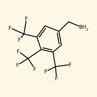 BCc1cc(C(F)(F)F)c(C(F)(F)F)c(C(F)(F)F)c1